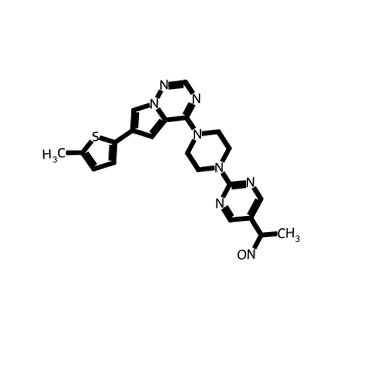 Cc1ccc(-c2cc3c(N4CCN(c5ncc(C(C)N=O)cn5)CC4)ncnn3c2)s1